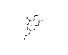 CCC[C@H](CCCOC)SC(C)(C)C(=O)OCC